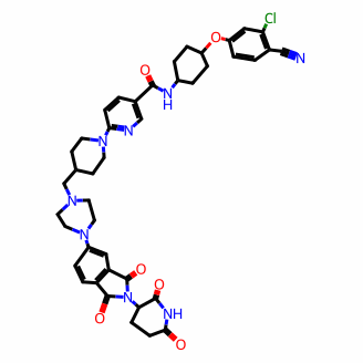 N#Cc1ccc(OC2CCC(NC(=O)c3ccc(N4CCC(CN5CCN(c6ccc7c(c6)C(=O)N(C6CCC(=O)NC6=O)C7=O)CC5)CC4)nc3)CC2)cc1Cl